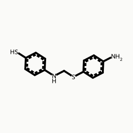 Nc1ccc(SCNc2ccc(S)cc2)cc1